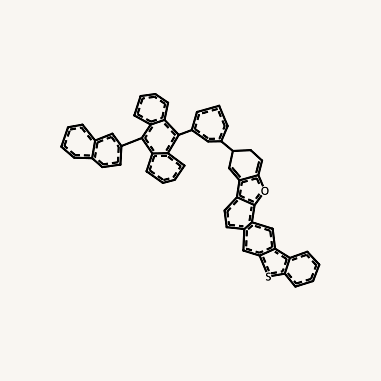 C1=c2oc3c(ccc4cc5sc6ccccc6c5cc43)c2=CC(c2cccc(-c3c4ccccc4c(-c4ccc5ccccc5c4)c4ccccc34)c2)C1